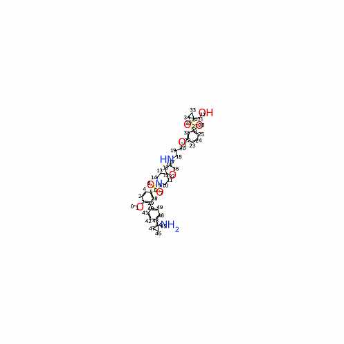 COc1ccc(S(=O)(=O)N2CCC3(CC2)C[C@@H](NCCCOc2cccc(S(=O)(=O)C4(CO)CC4)c2)CO3)cc1-c1ccc(C2(N)CC2)cc1